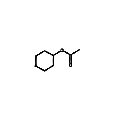 CC(=O)OC1CC[CH]CC1